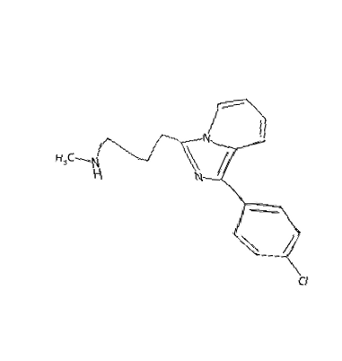 CNCCCc1nc(-c2ccc(Cl)cc2)c2ccccn12